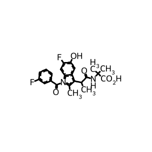 Cc1c(C(C)C(=O)NC(C)(C)C(=O)O)c2cc(O)c(F)cc2n1C(=O)c1cccc(F)c1